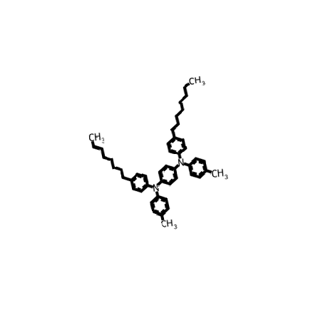 CCCCCCCCc1ccc(N(c2ccc(C)cc2)c2ccc(N(c3ccc(C)cc3)c3ccc(CCCCCCCC)cc3)cc2)cc1